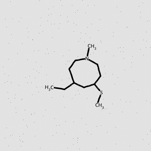 CCC1CCN(C)CCC(SC)C1